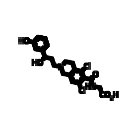 O=C(O)CNC(=O)c1c(Cl)cc2c(c1Cl)CCN(CCC(O)c1cccc(O)c1)C2